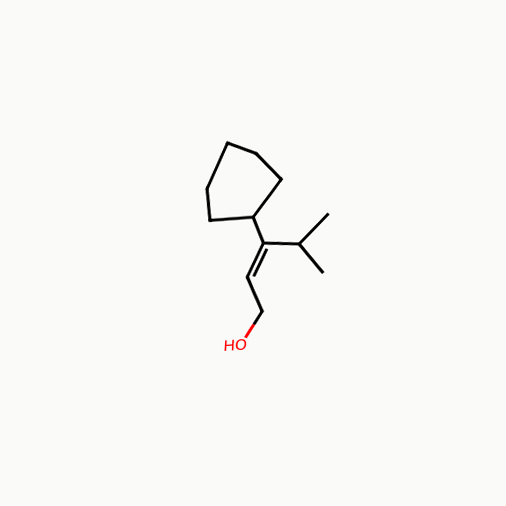 CC(C)/C(=C\CO)C1CCCCC1